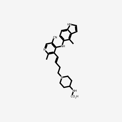 Cc1ncc(C#N)c(Nc2ccc3[nH]ccc3c2C)c1C=CCCN1CCC(NC(=O)O)CC1